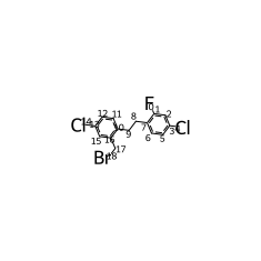 Fc1cc(Cl)ccc1CCc1ccc(Cl)cc1CBr